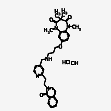 CN1C(=O)C(C)(C)C(=O)N(C)c2cc(OCCCNCc3ccnc(CCn4ccc5ccccc5c4=O)c3)ccc21.Cl.Cl